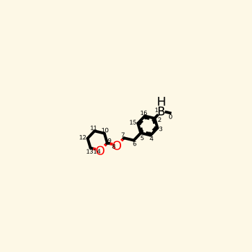 CBc1ccc(CCOC2CCCCO2)cc1